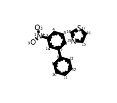 O=[N+]([O-])c1cccc(-c2ccccc2)c1.c1cscn1